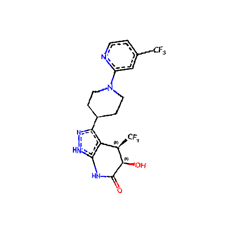 O=C1Nc2[nH]nc(C3CCN(c4cc(C(F)(F)F)ccn4)CC3)c2[C@@H](C(F)(F)F)[C@H]1O